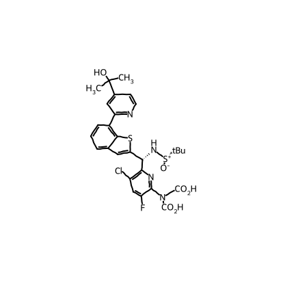 CC(C)(O)c1ccnc(-c2cccc3cc([C@H](N[S@@+]([O-])C(C)(C)C)c4nc(N(C(=O)O)C(=O)O)c(F)cc4Cl)sc23)c1